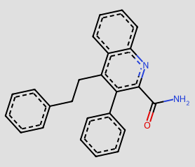 NC(=O)c1nc2ccccc2c(CCc2ccccc2)c1-c1ccccc1